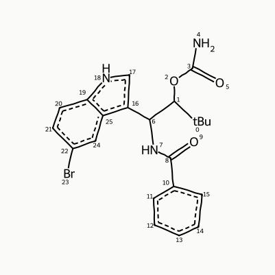 CC(C)(C)C(OC(N)=O)C(NC(=O)c1ccccc1)c1c[nH]c2ccc(Br)cc12